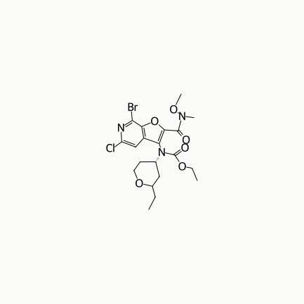 CCOC(=O)N(c1c(C(=O)N(C)OC)oc2c(Br)nc(Cl)cc12)[C@H]1CCOC(CC)C1